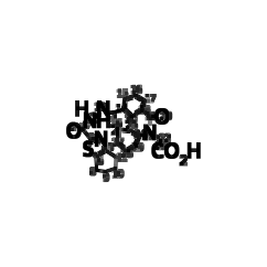 NC(=O)c1nc2c(s1)CCCC2.NCc1cccc(C(=O)N(CC(=O)O)c2ccccc2)c1